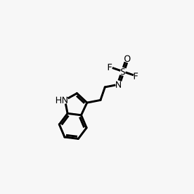 O=S(F)(F)=NCCc1c[nH]c2ccccc12